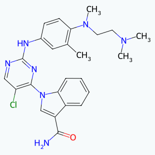 Cc1cc(Nc2ncc(Cl)c(-n3cc(C(N)=O)c4ccccc43)n2)ccc1N(C)CCN(C)C